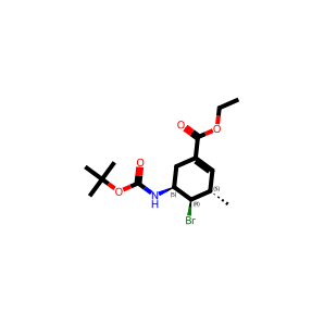 CCOC(=O)C1=C[C@H](C)[C@@H](Br)[C@@H](NC(=O)OC(C)(C)C)C1